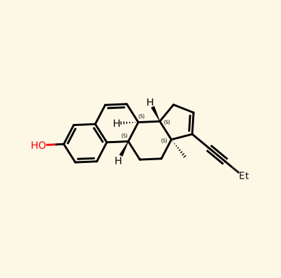 CCC#CC1=CC[C@H]2[C@@H]3C=Cc4cc(O)ccc4[C@H]3CC[C@]12C